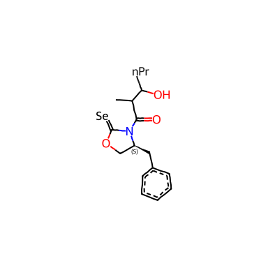 CCCC(O)C(C)C(=O)N1C(=[Se])OC[C@@H]1Cc1ccccc1